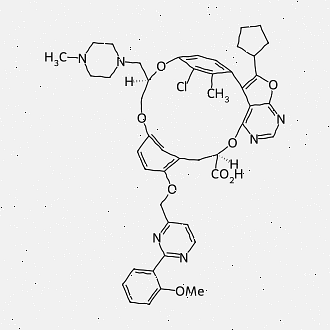 COc1ccccc1-c1nccc(COc2ccc3cc2C[C@H](C(=O)O)Oc2ncnc4oc(C5CCCC5)c(c24)-c2ccc(c(Cl)c2C)O[C@H](CN2CCN(C)CC2)CO3)n1